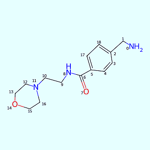 NCc1ccc(C(=O)NCCN2CCOCC2)cc1